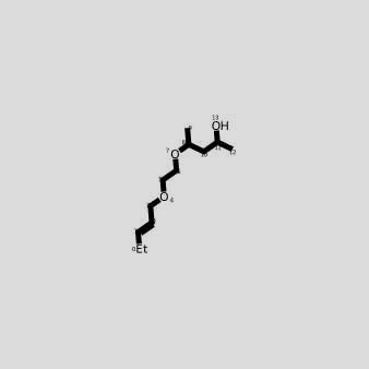 CCC=CCOCCOC(C)CC(C)O